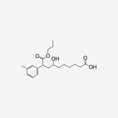 CCCOC(=O)C(CC(O)CCCCCC(=O)O)c1cccc(C)c1